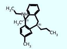 CCC[C@@H]1Cc2ccccc2[C@](C)(NCC)c2ccc(C)cc21